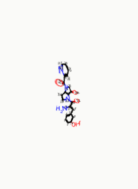 NC(Cc1cccc(O)c1)C(=O)N1CCC2C1C(=O)CN2C(=O)c1ccccn1